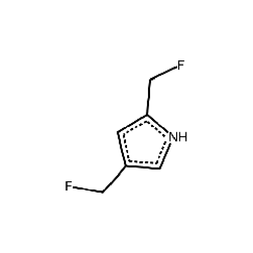 FCc1c[nH]c(CF)c1